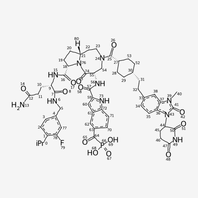 CC(C)c1ccc(CNC(=O)[C@H](CCC(N)=O)NC(=O)[C@@H]2CC[C@@H]3CCN(C(=O)[C@H]4CC[C@@H](CCc5ccc6c(c5)n(C)c(=O)n6C5CCC(=O)NC5=O)CC4)C[C@H](NC(=O)c4cc5cc(C(=O)P(=O)(O)O)ccc5[nH]4)C(=O)N32)cc1F